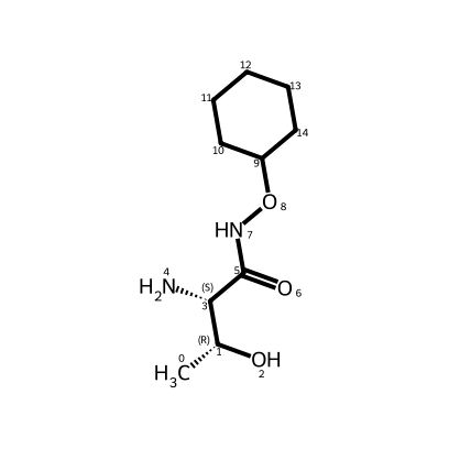 C[C@@H](O)[C@H](N)C(=O)NOC1CCCCC1